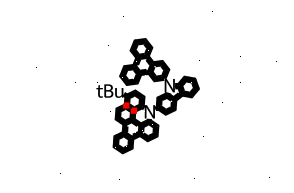 CC(C)(C)c1ccc(N(c2ccc3c4ccccc4n(-c4ccc5c6ccccc6c6ccccc6c5c4)c3c2)c2cccc3c4ccccc4c4ccccc4c23)cc1